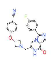 N#Cc1ccc(OC2CN(Cc3cn4c(-c5ccc(F)cc5)ncc4c(=O)[nH]3)C2)cc1